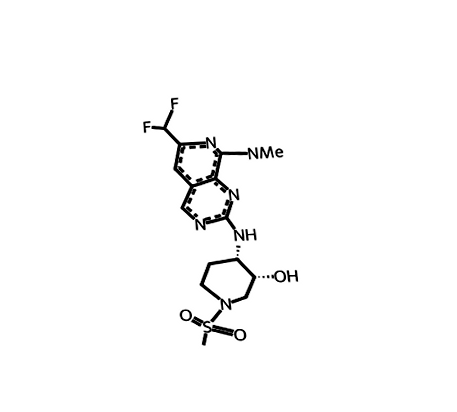 CNc1nc(C(F)F)cc2cnc(N[C@H]3CCN(S(C)(=O)=O)C[C@H]3O)nc12